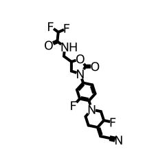 N#C/C=C1/CCN(c2ccc(N3CC(CNC(=O)C(F)F)OC3=O)cc2F)CC1F